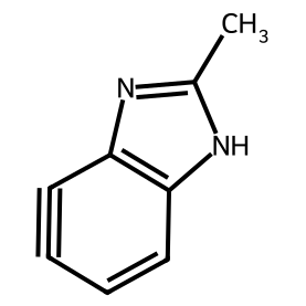 Cc1nc2c#cccc2[nH]1